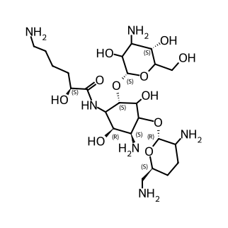 NCCCC[C@H](O)C(=O)NC1[C@H](O[C@H]2OC(CO)[C@@H](O)C(N)C2O)C(O)C(O[C@H]2O[C@H](CN)CCC2N)[C@@H](N)[C@H]1O